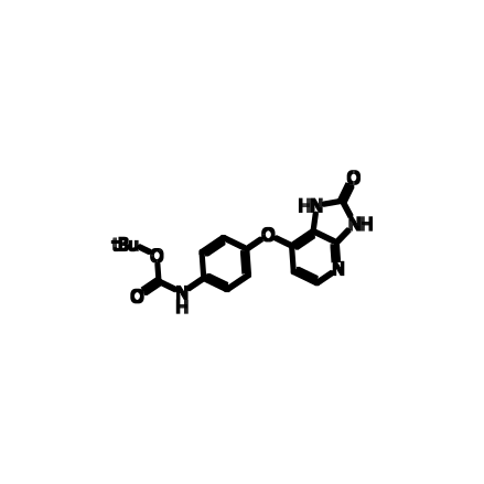 CC(C)(C)OC(=O)Nc1ccc(Oc2ccnc3[nH]c(=O)[nH]c23)cc1